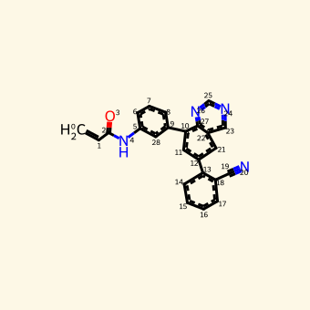 C=CC(=O)Nc1cccc(-c2cc(-c3ccccc3C#N)cc3cncnc23)c1